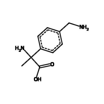 CC(N)(C(=O)O)c1ccc(CN)cc1